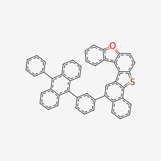 c1ccc(-c2c3ccccc3c(-c3cccc(-c4cc5c(sc6ccc7oc8ccccc8c7c65)c5ccccc45)c3)c3ccccc23)cc1